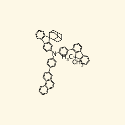 CC1(C)c2ccccc2-c2cccc(-c3ccc(N(c4ccc(-c5ccc6c(ccc7ccccc76)c5)cc4)c4ccc5c(c4)C4(c6ccccc6-5)C5CC6CC(C5)CC4C6)cc3)c21